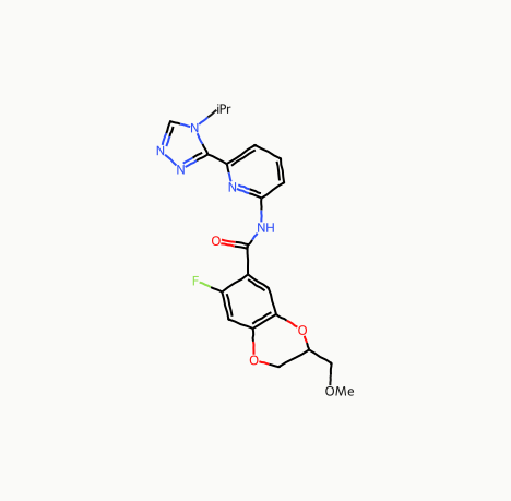 COCC1COc2cc(F)c(C(=O)Nc3cccc(-c4nncn4C(C)C)n3)cc2O1